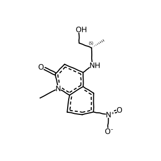 C[C@@H](CO)Nc1cc(=O)n(C)c2ccc([N+](=O)[O-])cc12